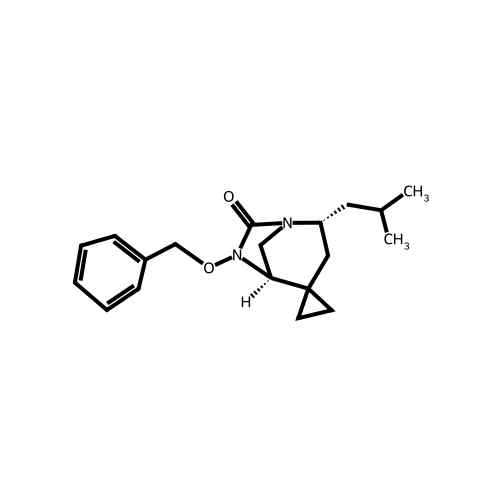 CC(C)C[C@@H]1CC2(CC2)[C@@H]2CN1C(=O)N2OCc1ccccc1